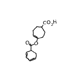 O=C(OC1=CCCC(C(=O)O)CC1)C1C=CC=CC1